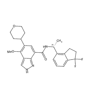 COc1c(C2CCOCC2)cc(C(=O)N[C@H](C)c2cccc3c2CCC3(F)F)c2n[nH]cc12